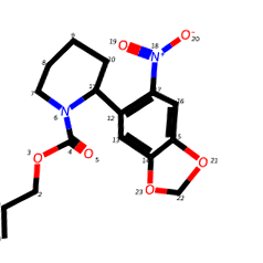 CCCOC(=O)N1CCCCC1c1cc2c(cc1[N+](=O)[O-])OCO2